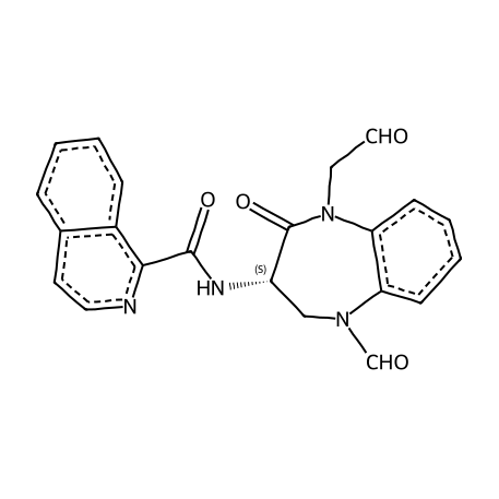 O=CCN1C(=O)[C@@H](NC(=O)c2nccc3ccccc23)CN(C=O)c2ccccc21